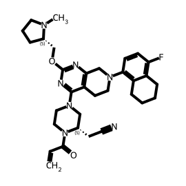 C=CC(=O)N1CCN(c2nc(OC[C@@H]3CCCN3C)nc3c2CCN(c2ccc(F)c4c2CCCC4)C3)C[C@@H]1CC#N